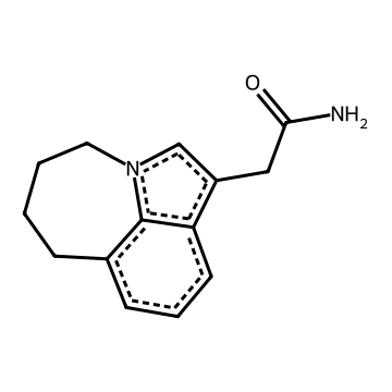 NC(=O)Cc1cn2c3c(cccc13)CCCC2